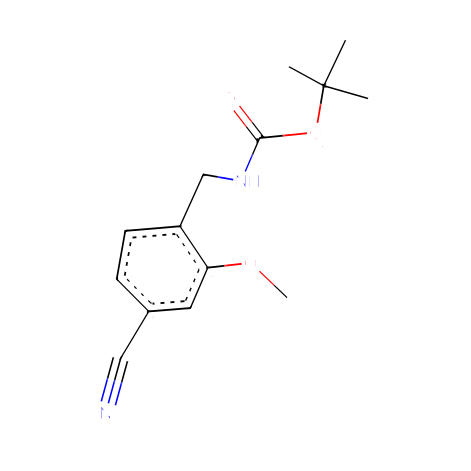 COc1cc(C#N)ccc1CNC(=O)OC(C)(C)C